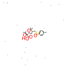 Cc1ccc([S+]([O-])C[C@H]2C[C@@H](C3(C(=O)O)OC3(C)C)OC2(C)C)cc1